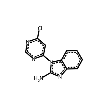 Nc1nc2ccccc2n1-c1cc(Cl)ncn1